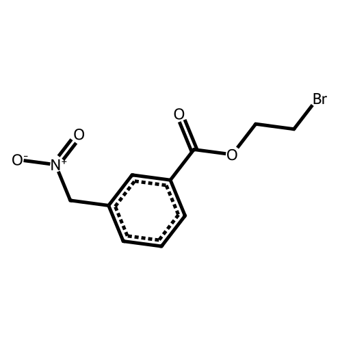 O=C(OCCBr)c1cccc(C[N+](=O)[O-])c1